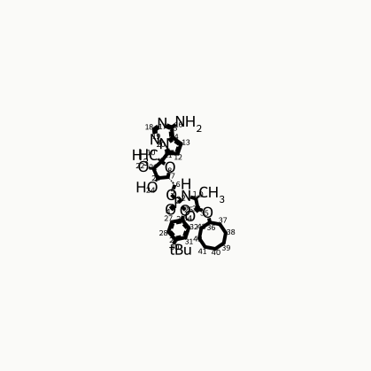 C[C@H](NP(=O)(OC[C@H]1O[C@@](C)(c2ccc3c(N)ncnn23)[C@H](O)[C@@H]1O)Oc1ccc(C(C)(C)C)cc1)C(=O)OC1CCCCCCC1